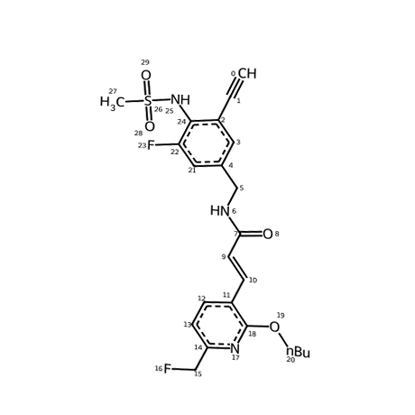 C#Cc1cc(CNC(=O)/C=C/c2ccc(CF)nc2OCCCC)cc(F)c1NS(C)(=O)=O